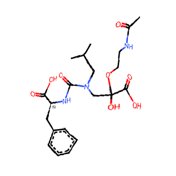 CC(=O)NCCOC(O)(CN(CC(C)C)C(=O)N[C@@H](Cc1ccccc1)C(=O)O)C(=O)O